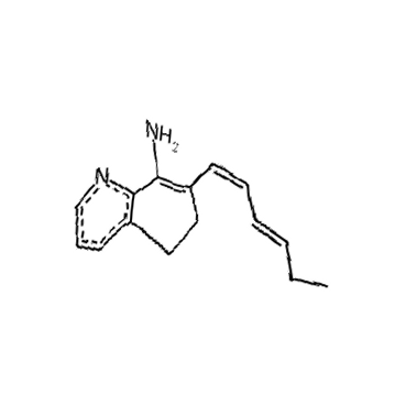 CC/C=C/C=C\C1=C(N)c2ncccc2CC1